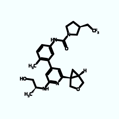 Cc1ccc(NC(=O)N2CC[C@@H](CC(F)(F)F)C2)cc1-c1cc(N[C@H](C)CO)nc([C@]23COC[C@H]2C3)c1